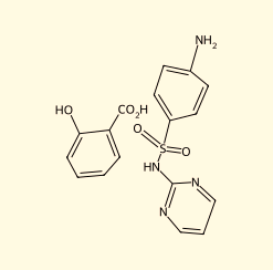 Nc1ccc(S(=O)(=O)Nc2ncccn2)cc1.O=C(O)c1ccccc1O